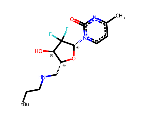 Cc1ccn([C@@H]2O[C@H](CNCCC(C)(C)C)[C@@H](O)C2(F)F)c(=O)n1